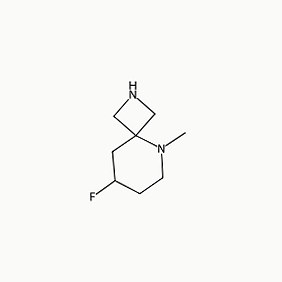 CN1CCC(F)CC12CNC2